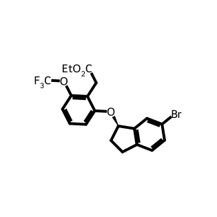 CCOC(=O)Cc1c(O[C@@H]2CCc3ccc(Br)cc32)cccc1OC(F)(F)F